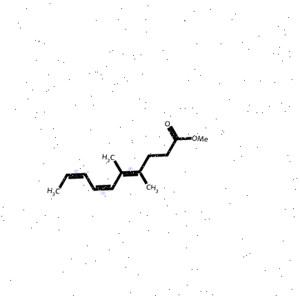 C\C=C/C=C\C(C)=C(/C)CCC(=O)OC